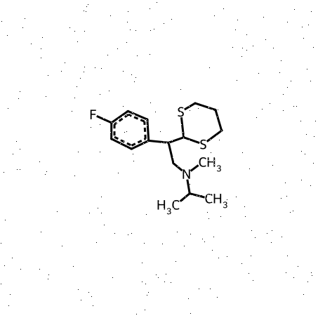 CC(C)N(C)CC(c1ccc(F)cc1)C1SCCCS1